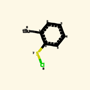 CC(C)(C)c1ccccc1SCl